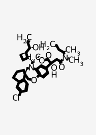 C=CC[C@@H](C)N(C)C(=O)C[C@](O)(C(=O)OC)c1ccc2c(c1)N(C[C@@H]1CC[C@H]1[C@@H](O)C=C)C[C@@]1(CCCc3cc(Cl)ccc31)CO2